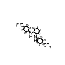 FC(F)(F)c1ccc(Nc2ccccc2Nc2ccc(C(F)(F)F)cc2)cc1